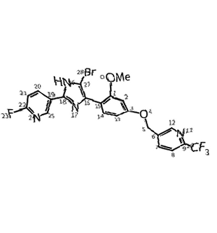 COc1cc(OCc2ccc(C(F)(F)F)nc2)ccc1-c1nc(-c2ccc(F)nc2)[nH]c1Br